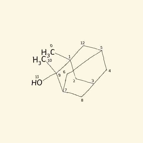 CC12CC3CC(CC(C3)C1(C)O)C2